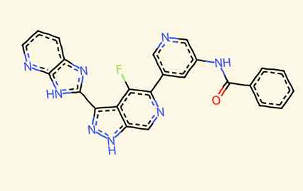 O=C(Nc1cncc(-c2ncc3[nH]nc(-c4nc5cccnc5[nH]4)c3c2F)c1)c1ccccc1